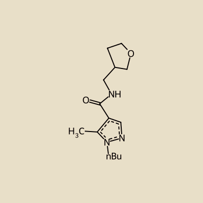 CCCCn1ncc(C(=O)NCC2CCOC2)c1C